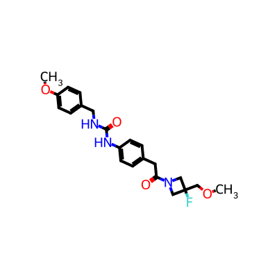 COCC1(F)CN(C(=O)Cc2ccc(NC(=O)NCc3ccc(OC)cc3)cc2)C1